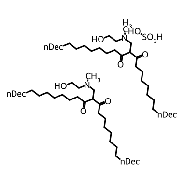 CCCCCCCCCCCCCCCCCC(=O)C(CN(C)CCO)C(=O)CCCCCCCCCCCCCCCCC.CCCCCCCCCCCCCCCCCC(=O)C(CN(C)CCO)C(=O)CCCCCCCCCCCCCCCCC.O=S(=O)(O)O